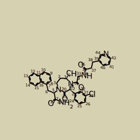 C[C@@H]1CCN(C(Cc2cccc3ccccc23)C(N)=O)C(=O)[C@H](c2cccc(Cl)c2)N1C(=O)CNC(=O)CCc1cccnc1